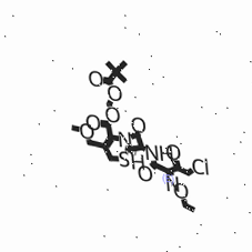 CCO/N=C(\C(=O)CCl)C(=O)NC1C(=O)N2C(C(=O)OCOC(=O)C(C)(C)C)=C(COC)CS[C@H]12